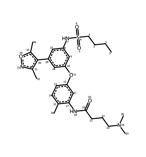 CCCCS(=O)(=O)Nc1cc(Oc2ccc(C)c(NC(=O)CCCN(C)C)c2)cc(-c2c(C)noc2C)c1